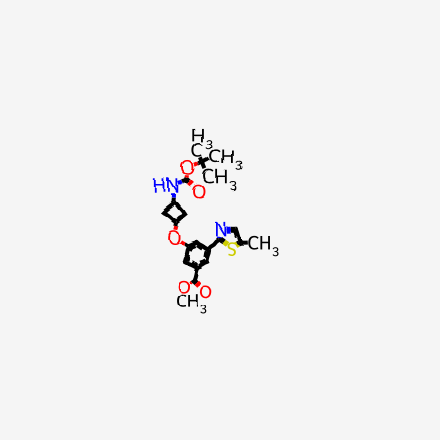 COC(=O)c1cc(OC2CC(NC(=O)OC(C)(C)C)C2)cc(-c2ncc(C)s2)c1